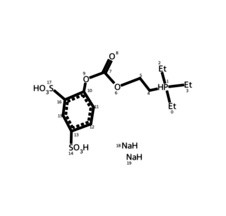 CC[PH](CC)(CC)CCOC(=O)Oc1ccc(S(=O)(=O)O)cc1S(=O)(=O)O.[NaH].[NaH]